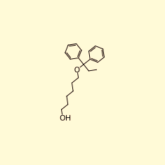 CCC(OCCCCCCO)(c1ccccc1)c1ccccc1